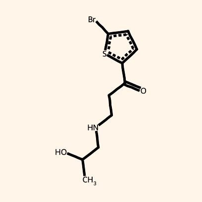 CC(O)CNCCC(=O)c1ccc(Br)s1